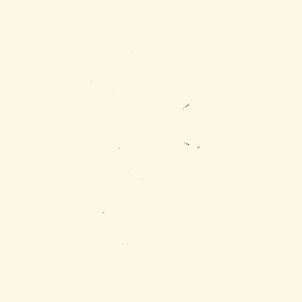 C[C@H](OCc1ccccc1)[C@@H](O)CCc1c(I)ccc2ccccc12